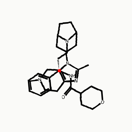 Cc1nc2c(n1C1CC3CCC(C1)N3CC[C@H](NC(=O)C1CCOCC1)c1ccccc1)CN(C)CC2